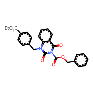 CCOC(=O)c1ccc(Cn2c(=O)n(C(=O)OCc3ccccc3)c(=O)c3ccccc32)cc1